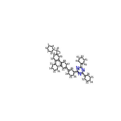 CC1(C)c2ccccc2-c2cc(-c3ccccc3)c(-c3ccc(-c4cccc(-c5nc(-c6ccccc6)nc(-c6ccccc6)n5)c4)cc3)cc21